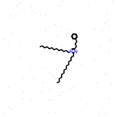 CCCCCCCCCCCCCCc1nc(CCCc2ccccc2)cn1CCCCCCCCCCCCC